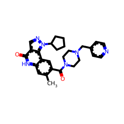 Cc1cc2[nH]c(=O)c3cnn(C4CCCC4)c3c2cc1C(=O)N1CCN(Cc2ccncc2)CC1